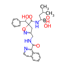 CC(C)CC(NC(=O)C1(C(O)c2ccccc2)CC(CNC(=O)c2nccc3ccccc23)=NO1)B(O)O